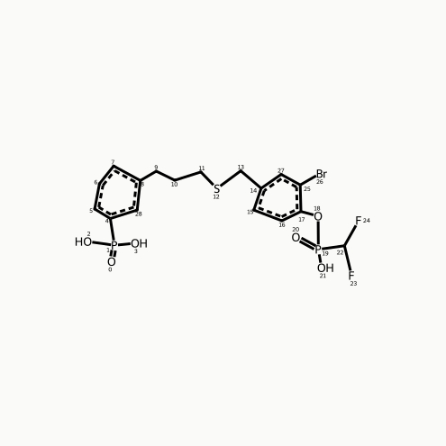 O=P(O)(O)c1cccc(CCCSCc2ccc(OP(=O)(O)C(F)F)c(Br)c2)c1